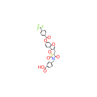 O=C(O)c1ccc(CN2C(=O)SC(Cc3coc4cc(OC(=O)c5ccc(C(F)(F)F)cc5)ccc4c3=O)C2=O)cc1